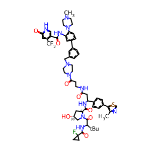 Cc1ncsc1-c1ccc(C(CC(=O)NCCC(=O)N2CCN(Cc3cccc(-c4ccc(N5CCN(C)CC5)c(NC(=O)c5c[nH]c(=O)cc5C(F)(F)F)c4)c3)CC2)NC(=O)[C@@H]2C[C@@H](O)CN2C(=O)C(NC(=O)C2(F)CC2)C(C)(C)C)cc1